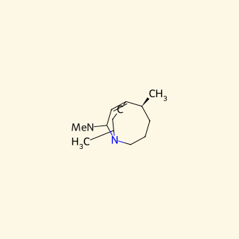 CNC1C=C2CCC(C)N1CCC[C@@H]2C